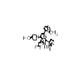 Cn1nccc1-c1cc(N2CCC(O)CC2)c2c(n1)c(-c1ccnn1PI)nn2CC(F)F